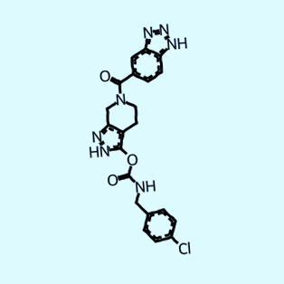 O=C(NCc1ccc(Cl)cc1)Oc1[nH]nc2c1CCN(C(=O)c1ccc3[nH]nnc3c1)C2